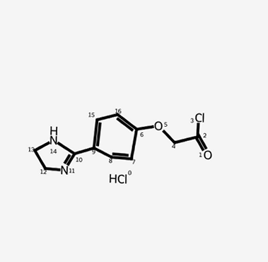 Cl.O=C(Cl)COc1ccc(C2=NCCN2)cc1